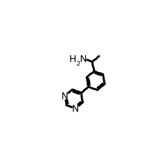 CC(N)c1cccc(-c2cncnc2)c1